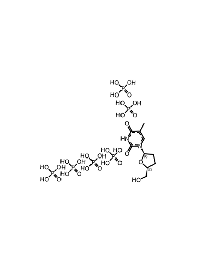 Cc1cn([C@H]2CC[C@@H](CO)O2)c(=O)[nH]c1=O.O=P(O)(O)O.O=P(O)(O)O.O=P(O)(O)O.O=P(O)(O)O.O=P(O)(O)O.O=P(O)(O)O